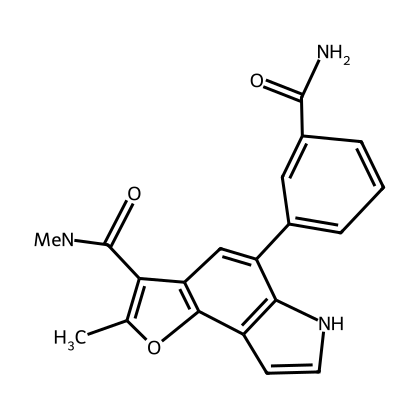 CNC(=O)c1c(C)oc2c1cc(-c1cccc(C(N)=O)c1)c1[nH]ccc12